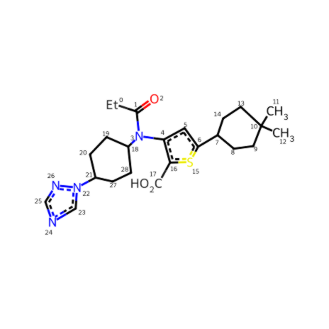 CCC(=O)N(c1cc(C2CCC(C)(C)CC2)sc1C(=O)O)C1CCC(n2cncn2)CC1